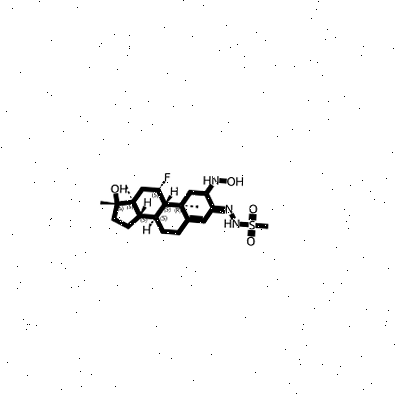 C[C@]12CC(NO)C(=NNS(C)(=O)=O)C=C1CC[C@@H]1[C@@H]2[C@@H](F)C[C@@]2(C)[C@H]1CC[C@]2(C)O